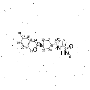 CNC(=O)c1csc(C2CCN(C(=O)Cc3cc(C)ccc3C)CC2)n1